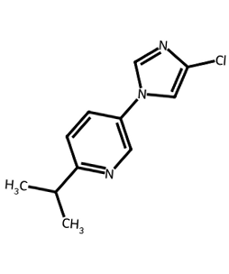 CC(C)c1ccc(-n2cnc(Cl)c2)cn1